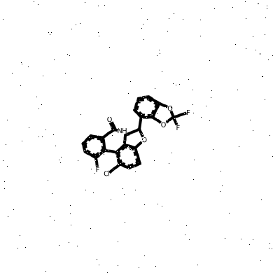 NC(=O)c1cccc(F)c1-c1c(Cl)ccc2c1CC(c1cccc3c1OC(F)(F)O3)O2